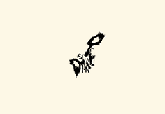 N=C=S.N=C=S.c1ccc([CH2][Sn][CH2]c2ccccc2)cc1